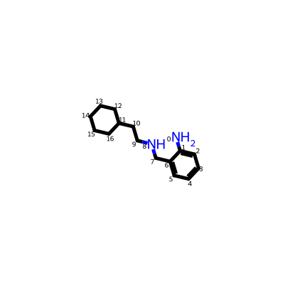 Nc1ccccc1CNCCC1CCCCC1